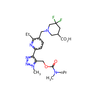 CCCN(C)C(=O)OCc1c(-c2ccc(CN3CC(C(=O)O)CC(F)(F)C3)c(CC)n2)nnn1C